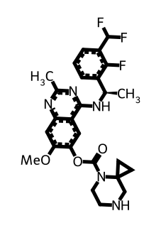 COc1cc2nc(C)nc(N[C@H](C)c3cccc(C(F)F)c3F)c2cc1OC(=O)N1CCNCC12CC2